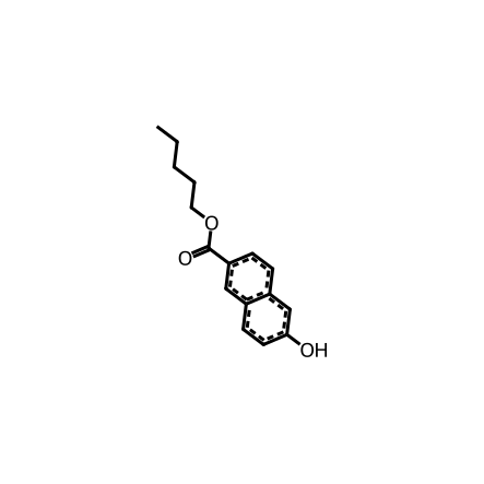 CCCCCOC(=O)c1ccc2cc(O)ccc2c1